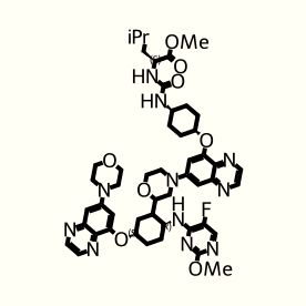 COC(=O)[C@H](CC(C)C)NC(=O)N[C@H]1CC[C@@H](Oc2cc(N3CCOC(C4C[C@@H](Oc5cc(N6CCOCC6)cc6nccnc56)CC[C@H]4Nc4nc(OC)ncc4F)C3)cc3nccnc23)CC1